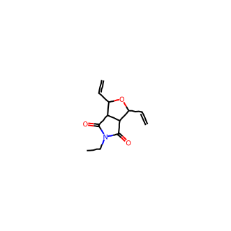 C=CC1OC(C=C)C2C(=O)N(CC)C(=O)C12